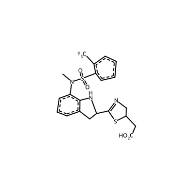 CN(c1cccc2c1NC(C1=NCC(CC(=O)O)S1)C2)S(=O)(=O)c1ccccc1C(F)(F)F